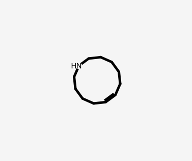 C1=CCCCCNCCCCC1